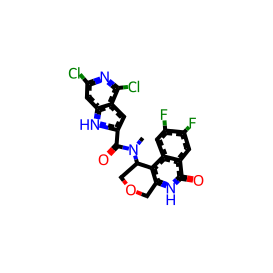 CN(C(=O)c1cc2c(Cl)nc(Cl)cc2[nH]1)C1COCc2[nH]c(=O)c3cc(F)c(F)cc3c21